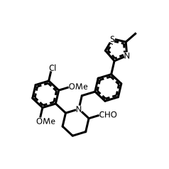 COc1ccc(Cl)c(OC)c1C1CCCC(C=O)N1Cc1cccc(-c2csc(C)n2)c1